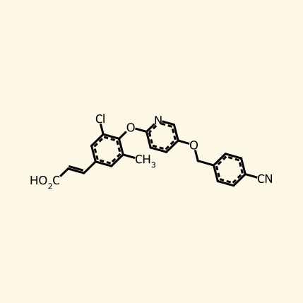 Cc1cc(C=CC(=O)O)cc(Cl)c1Oc1ccc(OCc2ccc(C#N)cc2)cn1